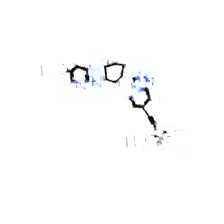 C[Si](C)(C)C#Cc1ccn2c([C@H]3CCC[C@@H](Nc4ccc(C(F)(F)F)cn4)C3)nnc2c1